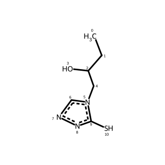 CCC(O)Cn1cnnc1S